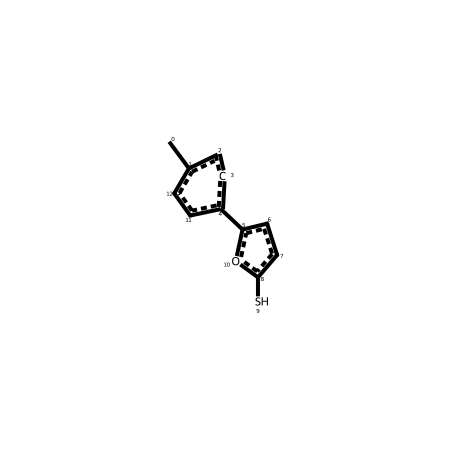 Cc1ccc(-c2ccc(S)o2)cc1